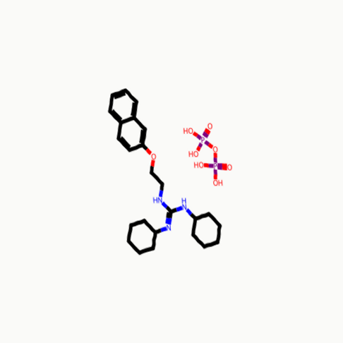 O=P(O)(O)OP(=O)(O)O.c1ccc2cc(OCCN/C(=N\C3CCCCC3)NC3CCCCC3)ccc2c1